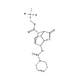 O=C(OC1C2CC3C1OC(=O)C3C2C(=O)OCC(F)(F)F)C1CC=CCC1